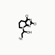 [2H]CCC(O)N1CCCc2c(Cl)nc(Cl)nc21